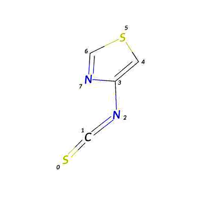 S=C=Nc1cscn1